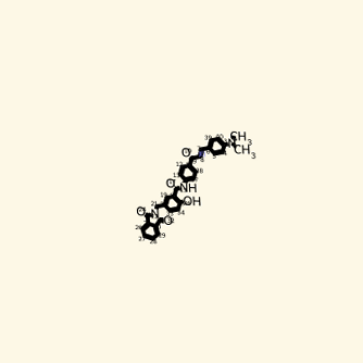 CN(C)c1ccc(/C=C/C(=O)c2ccc(NC(=O)c3cc(CN4C(=O)c5ccccc5C4=O)ccc3O)cc2)cc1